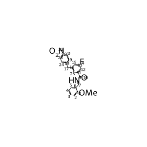 COc1ccccc1CNC(=O)c1cc(F)cc(Cc2ccc([N+](=O)[O-])cc2)c1